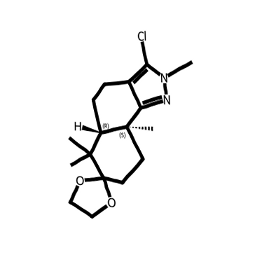 Cn1nc2c(c1Cl)CC[C@H]1C(C)(C)C3(CC[C@]21C)OCCO3